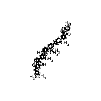 CC1CC2(CCN1c1ccc3c(c1)C(=O)N(C1CCC(=O)NC1=O)C3=O)CC(N1CCN(c3ccc(Nc4cc(-c5ccnc(N6CCn7c(cc8c7CC(C)(C)C8)C6=O)c5CO)cn(C)c4=O)nc3)[C@@H](C(C)(C)C)C1)C2